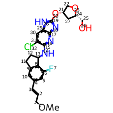 COC/C=C/c1cc(F)c2c(c1)CCC2Nc1nc2nc(O[C@@H]3CO[C@H](CO)C3)[nH]c2cc1Cl